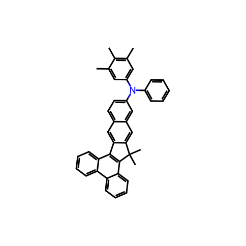 Cc1cc(N(c2ccccc2)c2ccc3cc4c(cc3c2)C(C)(C)c2c-4c3ccccc3c3ccccc23)cc(C)c1C